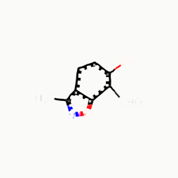 Cc1noc2c(C=O)c(O)ccc12